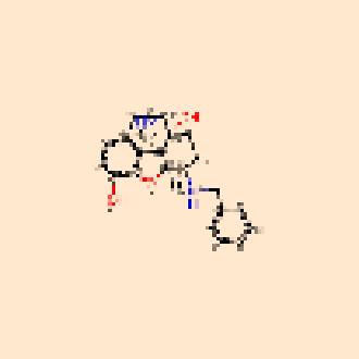 Oc1ccc2c3c1O[C@@H]1[C@H](NCc4ccccc4)CC[C@]4(O)C(C2)NCC[C@@]314